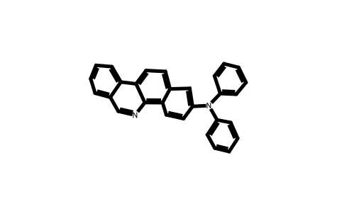 c1ccc(N(c2ccccc2)c2ccc3c(ccc4c5ccccc5cnc34)c2)cc1